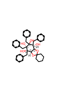 O[C@]1(Cc2ccccc2)[C@](O)(Cc2ccccc2)[C@@](O)(Cc2ccccc2)[C@H]2OC3(CCCCC3)O[C@H]2[C@]1(O)Cc1ccccc1